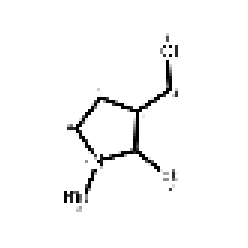 CCC1C(CO)CCN1C(C)(C)C